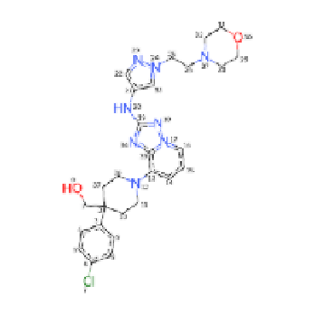 OCC1(c2ccc(Cl)cc2)CCN(c2cccn3nc(Nc4cnn(CCN5CCOCC5)c4)nc23)CC1